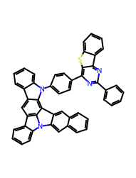 c1ccc(-c2nc(-c3ccc(-n4c5ccccc5c5cc6c7ccccc7n7c8cc9ccccc9cc8c(c54)c67)cc3)c3sc4ccccc4c3n2)cc1